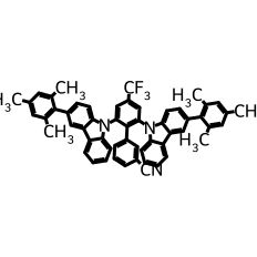 Cc1cc(C)c(-c2ccc3c(c2)c2ccccc2n3-c2cc(C(F)(F)F)cc(-n3c4ccccc4c4cc(-c5c(C)cc(C)cc5C)ccc43)c2-c2cccc(C#N)c2)c(C)c1